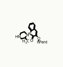 CCCCCOc1cc2ccccc2n(N2CCNCC2C)c1=O